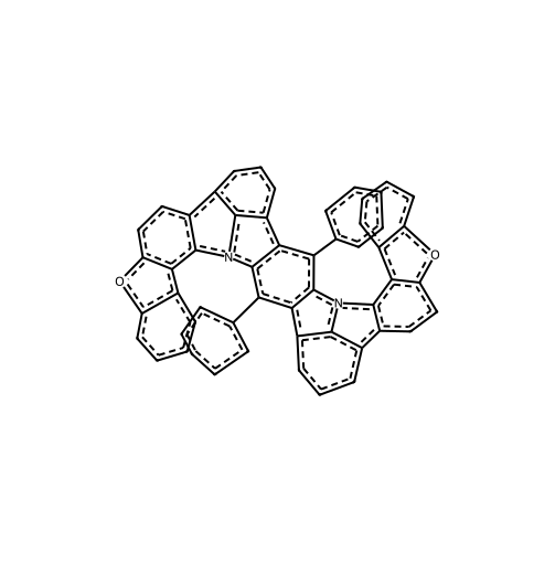 c1ccc(-c2c3c4cccc5c6ccc7oc8ccccc8c7c6n(c3c(-c3ccccc3)c3c6cccc7c8ccc9oc%10ccccc%10c9c8n(c23)c76)c54)cc1